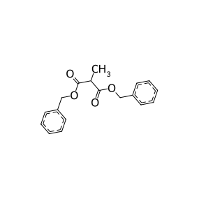 CC(C(=O)OCc1ccccc1)C(=O)OCc1ccccc1